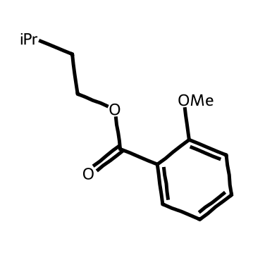 COc1ccccc1C(=O)OCCC(C)C